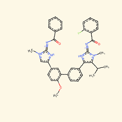 COc1ccc(-c2cn(C)/c(=N/C(=O)c3ccccc3)[nH]2)cc1-c1cccc(-c2[nH]/c(=N/C(=O)c3ccccc3F)n(C)c2C(C)C)c1